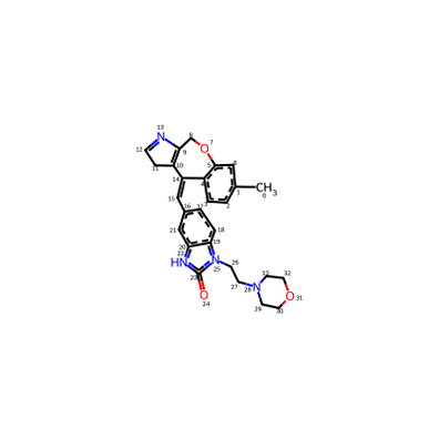 Cc1ccc2c(c1)OCC1=C(CC=N1)/C2=C/c1ccc2c(c1)[nH]c(=O)n2CCN1CCOCC1